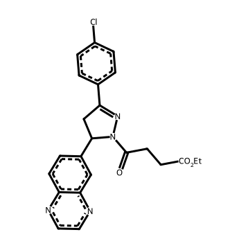 CCOC(=O)CCC(=O)N1N=C(c2ccc(Cl)cc2)CC1c1ccc2nccnc2c1